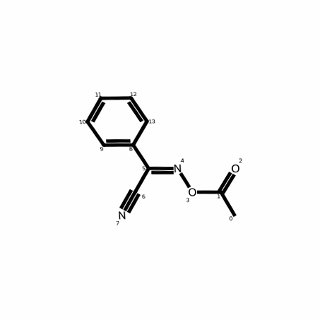 CC(=O)ON=C(C#N)c1ccccc1